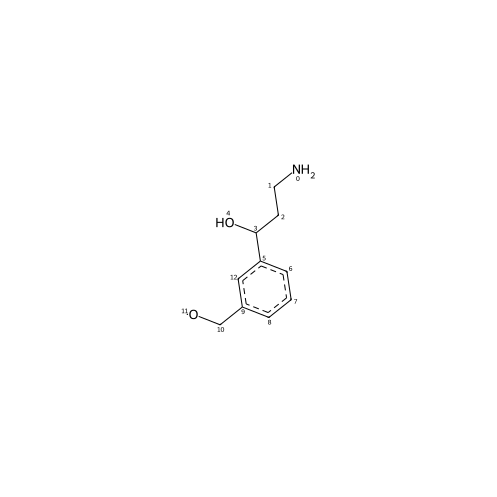 NCCC(O)c1cccc(C[O])c1